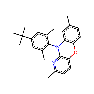 Cc1ccc2c(c1)N(c1c(C)cc(C(C)(C)C)cc1C)c1nc(C)ccc1O2